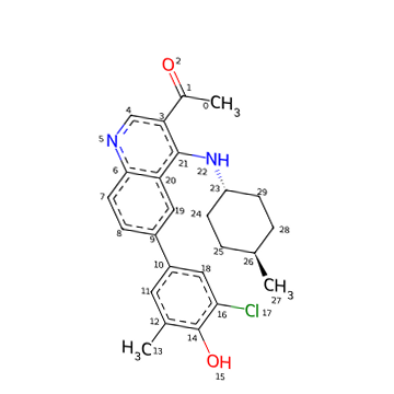 CC(=O)c1cnc2ccc(-c3cc(C)c(O)c(Cl)c3)cc2c1N[C@H]1CC[C@H](C)CC1